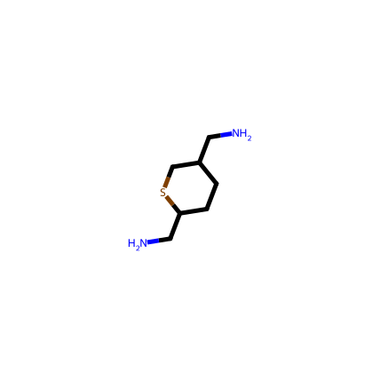 NCC1CCC(CN)SC1